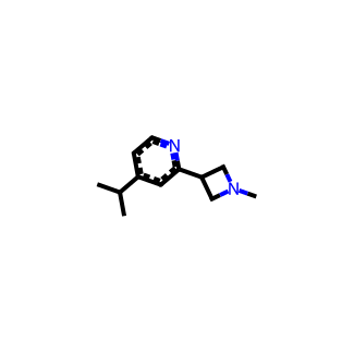 CC(C)c1ccnc(C2CN(C)C2)c1